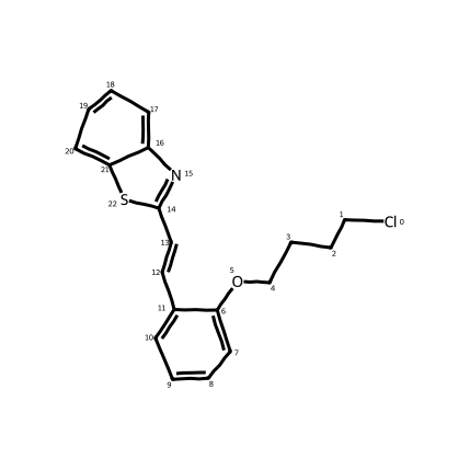 ClCCCCOc1ccccc1/C=C/c1nc2ccccc2s1